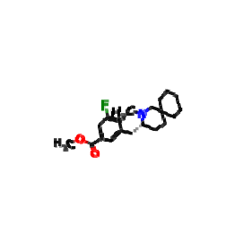 COC(=O)c1cc(F)cc(C[C@H]2CCC3(CCCCC3)CN2C)c1